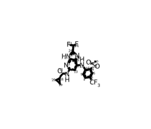 CS(=O)(=O)c1cc(C(F)(F)F)ccc1Nc1cc(NC(=O)C2CC2)nc2[nH]c(C(F)F)nc12